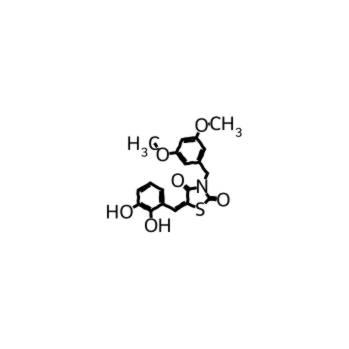 COc1cc(CN2C(=O)SC(=Cc3cccc(O)c3O)C2=O)cc(OC)c1